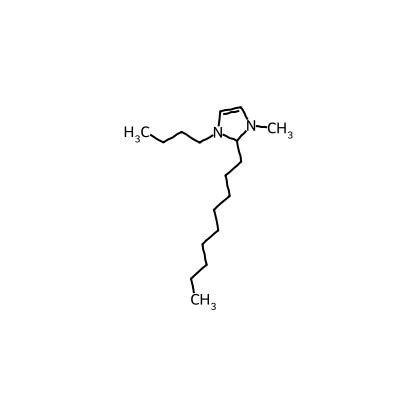 CCCCCCCCCC1N(C)C=CN1CCCC